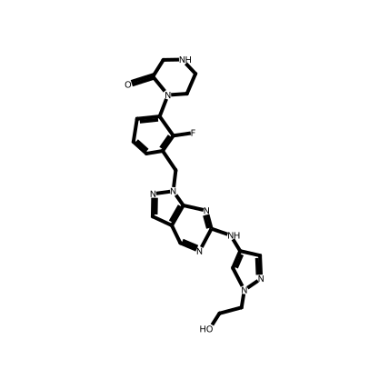 O=C1CNCCN1c1cccc(Cn2ncc3cnc(Nc4cnn(CCO)c4)nc32)c1F